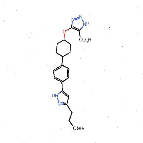 COCCc1cc(-c2ccc(C3CCC(Oc4nn[nH]c4C(=O)O)CC3)cc2)[nH]n1